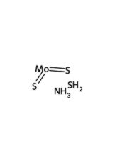 N.S.[S]=[Mo]=[S]